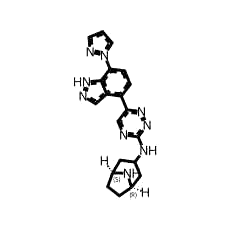 c1cnn(-c2ccc(-c3cnc(NC4C[C@H]5CC[C@@H](C4)N5)nn3)c3cn[nH]c23)c1